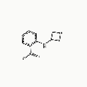 O=[N+]([O-])c1ccccc1NC1COC1